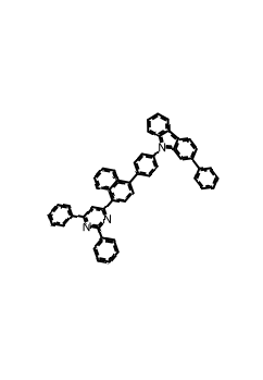 c1ccc(-c2ccc3c4ccccc4n(-c4ccc(-c5ccc(-c6cc(-c7ccccc7)nc(-c7ccccc7)n6)c6ccccc56)cc4)c3c2)cc1